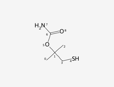 CC(C)(CS)OC(N)=O